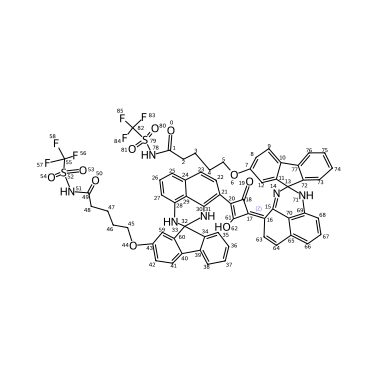 O=C(CCCCOc1ccc2c(c1)C1(N=c3/c(=C4\C(=O)C(c5ccc6cccc7c6c5NC5(N7)c6ccccc6-c6ccc(OCCCCC(=O)NS(=O)(=O)C(F)(F)F)cc65)=C4O)ccc4cccc(c34)N1)c1ccccc1-2)NS(=O)(=O)C(F)(F)F